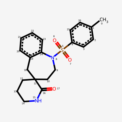 Cc1ccc(S(=O)(=O)N2CCC3(CCCNC3=O)Cc3ccccc32)cc1